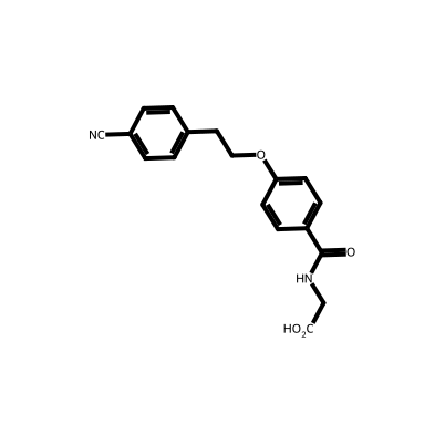 N#Cc1ccc(CCOc2ccc(C(=O)NCC(=O)O)cc2)cc1